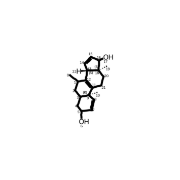 CC1CC2CC(O)C=C[C@]2(C)C2=C1[C@@H]1C=CC(O)[C@@]1(C)CC2